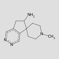 CN1CCC2(CC1)c1cnncc1CC2N